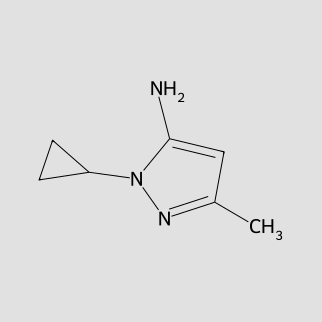 Cc1cc(N)n(C2CC2)n1